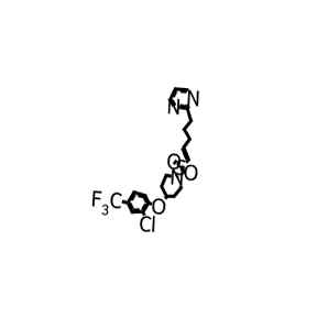 O=S(=O)(C=CCCCc1ncccn1)N1CCC(Oc2ccc(C(F)(F)F)cc2Cl)CC1